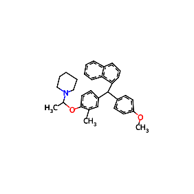 COc1ccc(C(c2ccc(OC(C)N3CCCCC3)c(C)c2)c2cccc3ccccc23)cc1